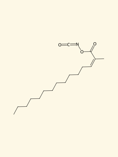 CCCCCCCCCCCCC=C(C)C(=O)ON=C=O